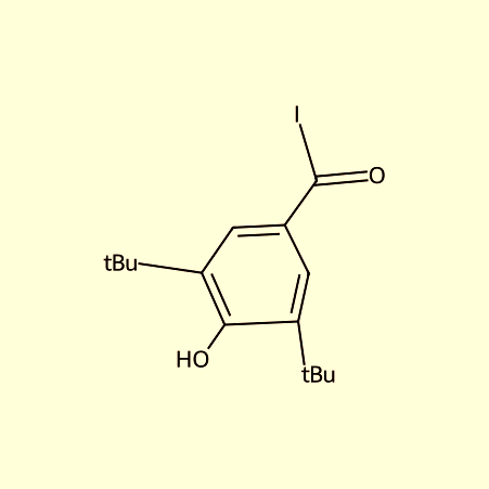 CC(C)(C)c1cc(C(=O)I)cc(C(C)(C)C)c1O